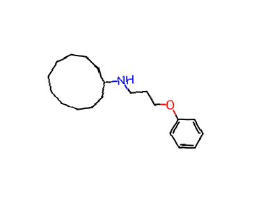 c1ccc(OCCCNC2CCCCCCCCCC2)cc1